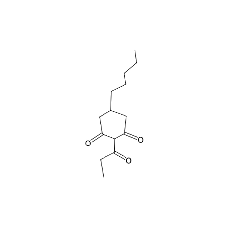 CCCCCC1CC(=O)C(C(=O)CC)C(=O)C1